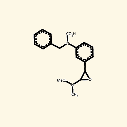 CON(C)C1OC1c1cccc(N(Cc2ccccc2)C(=O)O)c1